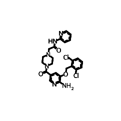 Nc1ncc(C(=O)N2CCN(CC(=O)Nc3ccccn3)CC2)cc1OCc1c(Cl)cccc1Cl